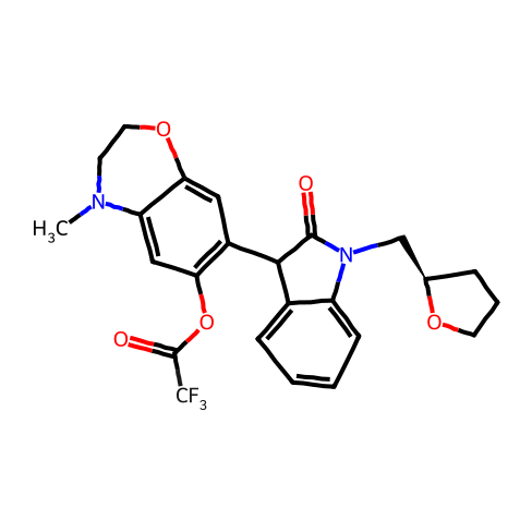 CN1CCOc2cc(C3C(=O)N(C[C@H]4CCCO4)c4ccccc43)c(OC(=O)C(F)(F)F)cc21